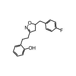 Oc1ccccc1CCC1=NOC(Cc2ccc(F)cc2)C1